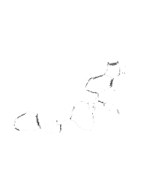 O=C(OCc1ccccc1)C1CCN(C(=O)c2ccc3cc[nH]c3c2)CC1